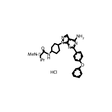 CN[C@H](C(=O)NC1CCC(n2ncc3c(N)nc(-c4ccc(Oc5ccccc5)cc4)nc32)CC1)C(C)C.Cl